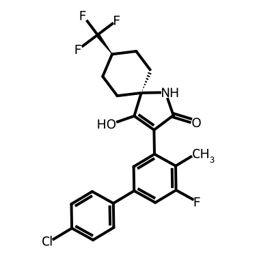 Cc1c(F)cc(-c2ccc(Cl)cc2)cc1C1=C(O)[C@]2(CC[C@H](C(F)(F)F)CC2)NC1=O